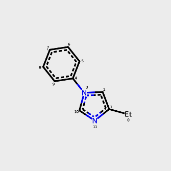 CCc1cn(-c2cc[c]cc2)cn1